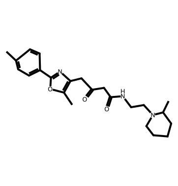 Cc1ccc(-c2nc(CC(=O)CC(=O)NCCN3CCCCC3C)c(C)o2)cc1